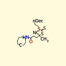 CCCCCCCCCCCCSC(=S)SC(C)(C#N)CCC(=O)NC1CCCCCCC1